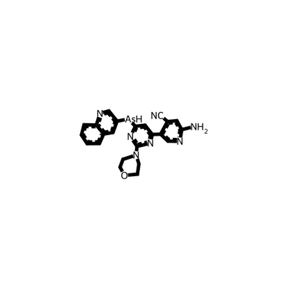 N#Cc1cc(N)ncc1-c1cc([AsH]c2cnc3ccccc3c2)nc(N2CCOCC2)n1